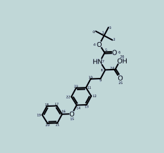 CC(C)(C)OC(=O)NC(CCc1ccc(Oc2ccccc2)cc1)C(=O)O